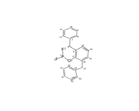 FP(F)Oc1c(Cc2ccccc2)cccc1Cc1ccccc1